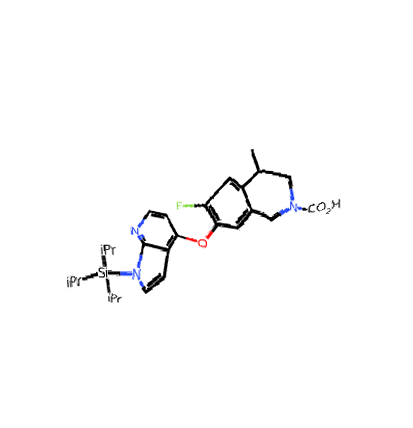 CC1CN(C(=O)O)Cc2cc(Oc3ccnc4c3ccn4[Si](C(C)C)(C(C)C)C(C)C)c(F)cc21